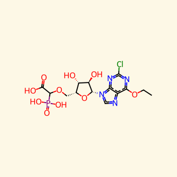 CCOc1nc(Cl)nc2c1ncn2[C@@H]1O[C@H](COC(C(=O)O)P(=O)(O)O)[C@H](O)[C@H]1O